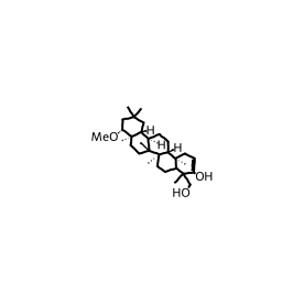 CO[C@@H]1CC(C)(C)C[C@@H]2[C@H]3CC[C@@H]4[C@@]5(C)CC=C(O)C(C)(CO)C5CC[C@@]4(C)[C@]3(C)CC[C@]21C